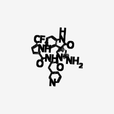 N[C@@H]1C[C@@]2(CN1C(=O)C(Cc1cccnc1)NC(=O)c1ccc(C(F)(F)F)[nH]1)C(=O)Nc1ccccc12